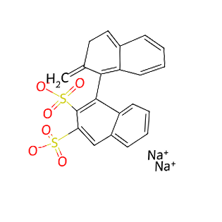 C=C1CC=c2ccccc2=C1c1c(S(=O)(=O)[O-])c(S(=O)(=O)[O-])cc2ccccc12.[Na+].[Na+]